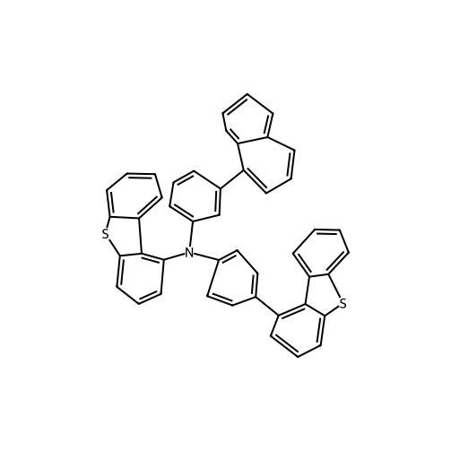 c1cc(-c2cccc3ccccc23)cc(N(c2ccc(-c3cccc4sc5ccccc5c34)cc2)c2cccc3sc4ccccc4c23)c1